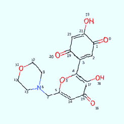 O=C1C=C(c2oc(CN3CCOCC3)cc(=O)c2O)C(=O)C=C1O